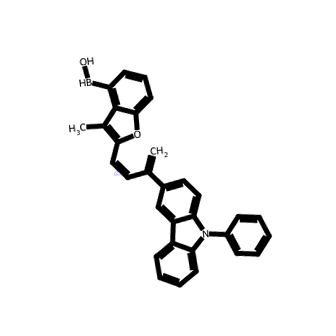 C=C(/C=C\c1oc2cccc(BO)c2c1C)c1ccc2c(c1)c1ccccc1n2-c1ccccc1